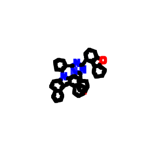 c1ccc(-c2nc(-c3ccccc3-n3c4ccc5ccccc5c4c4c5ccccc5ccc43)nc(-c3cccc4oc5ccccc5c34)n2)cc1